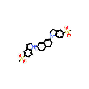 CS(=O)(=O)c1ccc2c(c1)CCN2C1=CC2=C/C(=[N+]3\CCc4cc(S(C)(=O)=O)ccc43)CCC2CC1